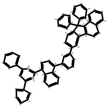 c1ccc(-c2cc(-c3ccccc3)nc(-c3ccc(-c4cccc(-c5ccc6c(c5)-c5ccc7ccccc7c5C6(c5ccccc5)c5ccccc5)c4)c4ccccc34)n2)cc1